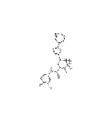 CN1C(C(=O)Nc2ccc(F)c(Cl)c2)CC(c2ccc(-c3cccnc3)s2)NS1(=O)=O